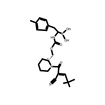 Cc1ccc(CC(NC(=O)OC[C@H]2CCCCN2C(=O)C(C#N)=CC(C)(C)C)B(O)O)cc1